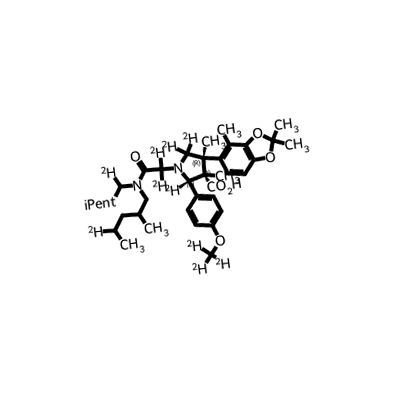 [2H]C(C)CC(C)CN(C(=O)C([2H])([2H])N1C([2H])([2H])[C@](C)(c2ccc3c(c2C)OC(C)(C)O3)[C@@](C)(C(=O)O)[C@]1([2H])c1ccc(OC([2H])([2H])[2H])cc1)C([2H])C(C)CCC